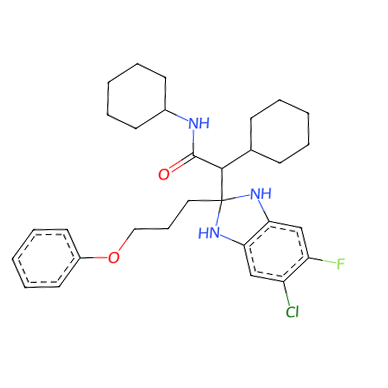 O=C(NC1CCCCC1)C(C1CCCCC1)C1(CCCOc2ccccc2)Nc2cc(F)c(Cl)cc2N1